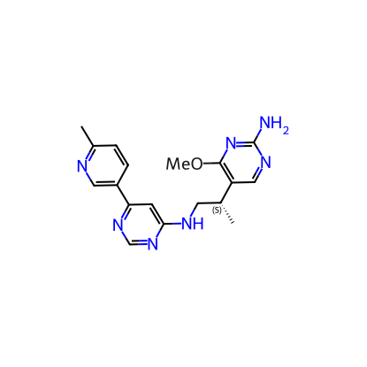 COc1nc(N)ncc1[C@H](C)CNc1cc(-c2ccc(C)nc2)ncn1